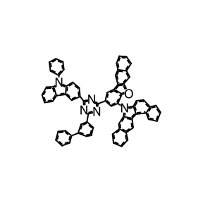 c1ccc(-c2cccc(-c3nc(-c4cc(-n5c6cc7ccccc7cc6c6c7ccccc7ccc65)c5oc6cc7ccccc7cc6c5c4)nc(-c4ccc5c(c4)c4ccccc4n5-c4ccccc4)n3)c2)cc1